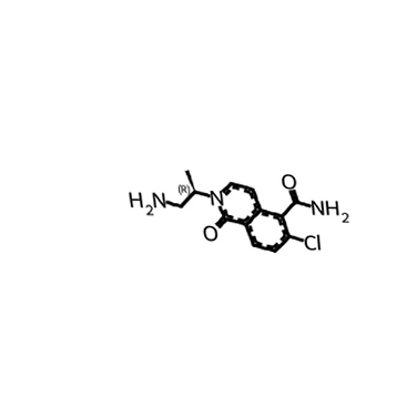 C[C@H](CN)n1ccc2c(C(N)=O)c(Cl)ccc2c1=O